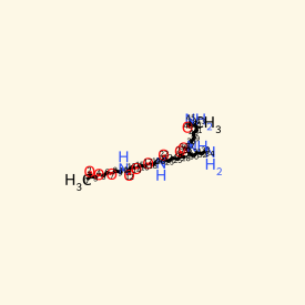 CC(=O)COCCOCCNC(=O)COCCOCCNC(=O)CCCC(=O)C[C@@H](CCCCN)C(=O)NCCCC[C@H](C)C(N)=O